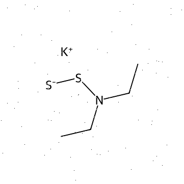 CCN(CC)S[S-].[K+]